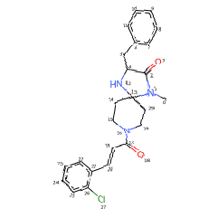 CN1C(=O)C(Cc2ccccc2)NC12CCN(C(=O)C=Cc1ccccc1Cl)CC2